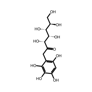 O=C(Cc1c(O)cc(O)c(O)c1O)[C@H](O)[C@@H](O)[C@H](O)[C@H](O)CO